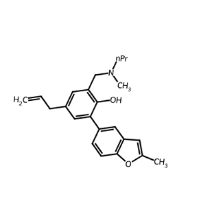 C=CCc1cc(CN(C)CCC)c(O)c(-c2ccc3oc(C)cc3c2)c1